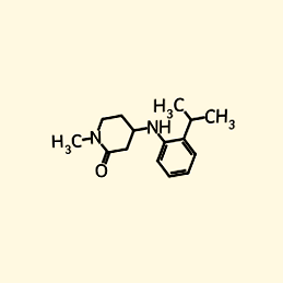 CC(C)c1ccccc1NC1CCN(C)C(=O)C1